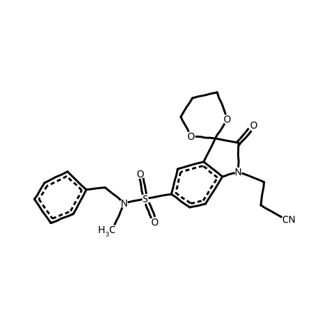 CN(Cc1ccccc1)S(=O)(=O)c1ccc2c(c1)C1(OCCCO1)C(=O)N2CCC#N